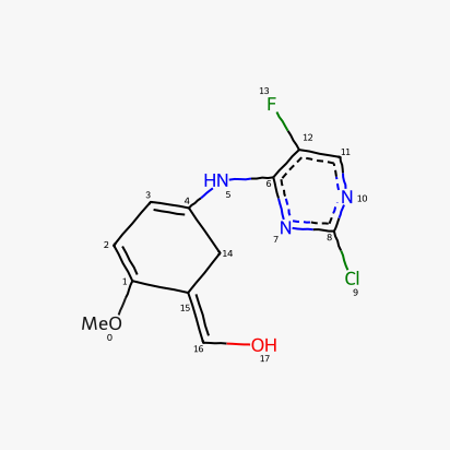 COC1=CC=C(Nc2nc(Cl)ncc2F)CC1=CO